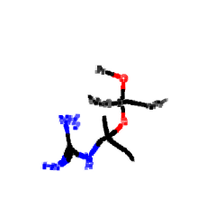 CCC[Si](OC)(OC(C)C)OC(C)(C)NC(=N)N